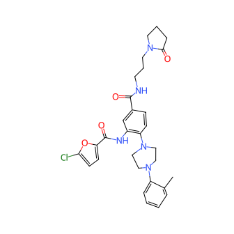 Cc1ccccc1N1CCN(c2ccc(C(=O)NCCCN3CCCC3=O)cc2NC(=O)c2ccc(Cl)o2)CC1